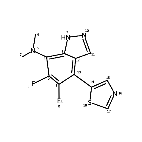 CCc1c(F)c(N(C)C)c2[nH]ncc2c1-c1cncs1